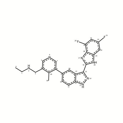 CCNCc1cncc(-c2ccc3[nH]nc(-c4nc5c(F)cc(F)cc5[nH]4)c3c2)c1C